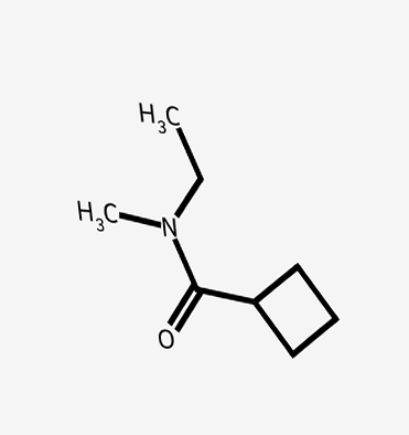 CCN(C)C(=O)C1CCC1